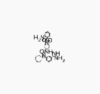 N=C(N)c1cccc(N(C(=O)NC2CCN(S(=O)(=O)c3ccccc3N)CC2)C2CCCCCC2)c1